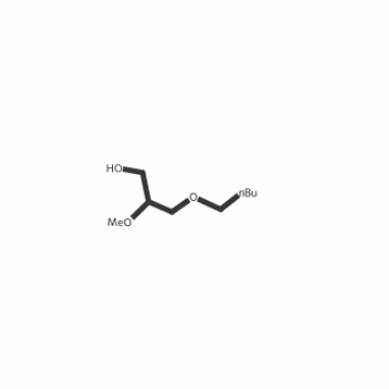 CCCCCOCC(CO)OC